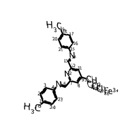 Cc1ccc(N=Cc2cc(C)cc(C=Nc3ccc(C)cc3)n2)cc1.[Cl-].[Cl-].[Cl-].[Fe+3]